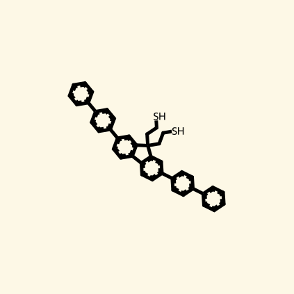 SCCC1(CCS)c2cc(-c3ccc(-c4ccccc4)cc3)ccc2-c2ccc(-c3ccc(-c4ccccc4)cc3)cc21